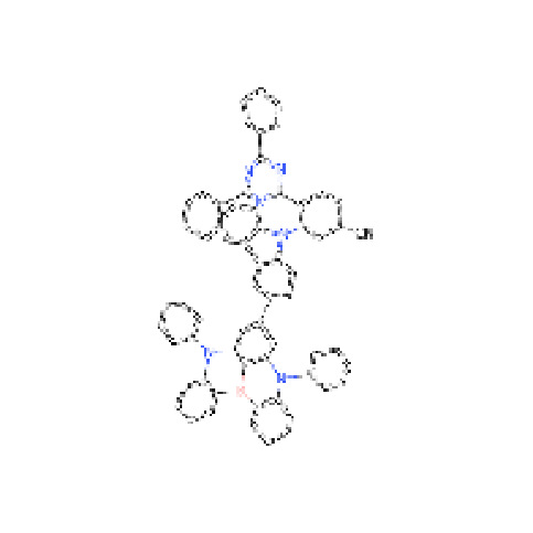 N#Cc1ccc(-c2nc(-c3ccccc3)nc(-c3ccccc3)n2)c(-n2c3ccccc3c3cc(-c4cc5c6c(c4)N(c4ccccc4)c4ccccc4B6c4ccccc4N5c4ccccc4)ccc32)c1